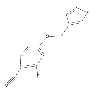 N#Cc1ccc(OCc2ccsc2)cc1F